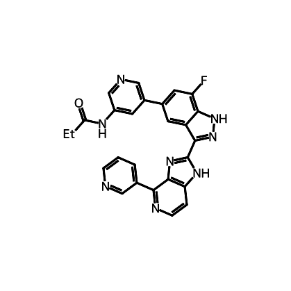 CCC(=O)Nc1cncc(-c2cc(F)c3[nH]nc(-c4nc5c(-c6cccnc6)nccc5[nH]4)c3c2)c1